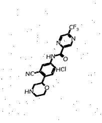 Cl.N#Cc1cc(NC(=O)c2cnc(C(F)(F)F)cn2)ccc1C1CNCCO1